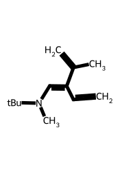 C=C/C(=C\N(C)C(C)(C)C)C(=C)C